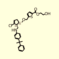 CC(C)(c1ccccc1)c1ccc(NC[C@H]2C(Cl)=CC[C@@H]2COCc2ccc(C(=O)OCCO)s2)cc1